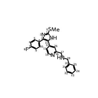 CSc1nc(-c2ccc(F)cc2)c(-c2ccnc(CNCc3ccccc3)c2)[nH]1